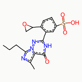 CCCc1nc(C)c2c(=O)[nH]c(-c3cc(S(=O)(=O)O)ccc3C3CO3)nn12